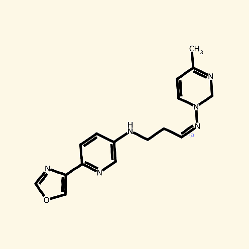 CC1=NCN(/N=C\CCNc2ccc(-c3cocn3)nc2)C=C1